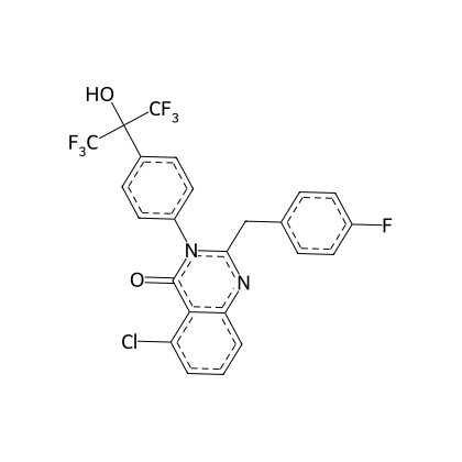 O=c1c2c(Cl)cccc2nc(Cc2ccc(F)cc2)n1-c1ccc(C(O)(C(F)(F)F)C(F)(F)F)cc1